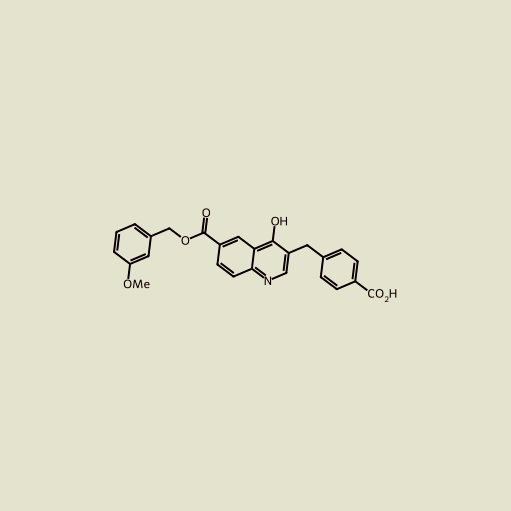 COc1cccc(COC(=O)c2ccc3ncc(Cc4ccc(C(=O)O)cc4)c(O)c3c2)c1